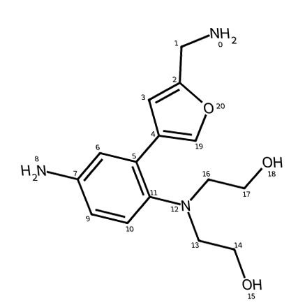 NCc1cc(-c2cc(N)ccc2N(CCO)CCO)co1